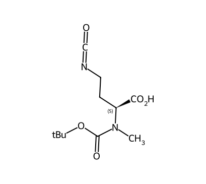 CN(C(=O)OC(C)(C)C)[C@@H](CCN=C=O)C(=O)O